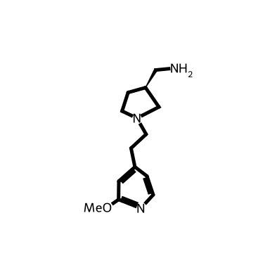 COc1cc(CCN2CC[C@@H](CN)C2)ccn1